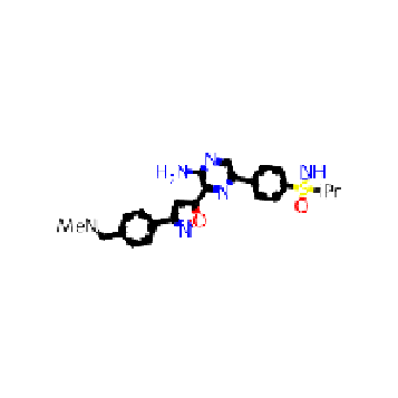 CNCc1ccc(-c2cc(-c3nc(-c4ccc(S(=N)(=O)C(C)C)cc4)cnc3N)on2)cc1